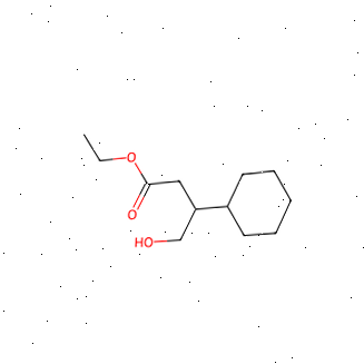 CCOC(=O)CC(CO)C1CCCCC1